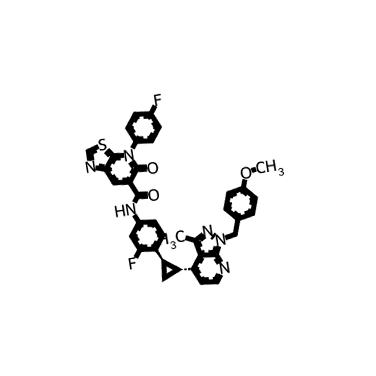 COc1ccc(Cn2nc(C)c3c([C@@H]4C[C@H]4c4ccc(NC(=O)c5cc6ncsc6n(-c6ccc(F)cc6)c5=O)cc4F)ccnc32)cc1